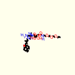 CCCOCCOCCOCCNC(=O)OC[C@H]1O[C@@H](n2cnc3c(N)[n+](C/C=C(\C)CC[C@@]4(C)[C@@H]5CCCC(C)(C)C5=CC[C@@H]4C)cnc32)[C@H](O)[C@@H]1O